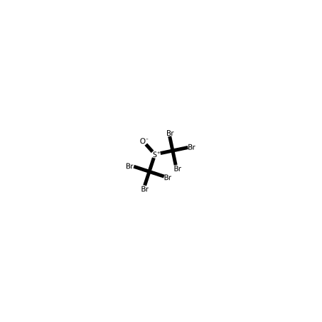 [O-][S+](C(Br)(Br)Br)C(Br)(Br)Br